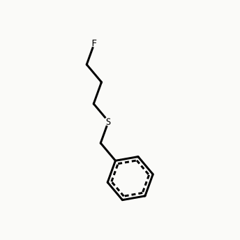 FCCCSCc1ccccc1